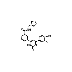 Cc1cc(-c2cc(C3=CC(C(=O)NCC4CCCO4)CC=C3)[nH]c(=O)n2)ccc1O